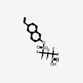 C=Cc1ccc2cc(OS(=O)(=O)C(F)(F)C(F)(F)C(F)(F)S(=O)(=O)O)ccc2c1